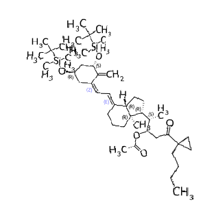 C=C1/C(=C\C=C2/CCC[C@]3(C)[C@@H]([C@H](C)C(CC(=O)C4(CCCC)CC4)OC(C)=O)CC[C@@H]23)C[C@@H](O[Si](C)(C)C(C)(C)C)C[C@@H]1O[Si](C)(C)C(C)(C)C